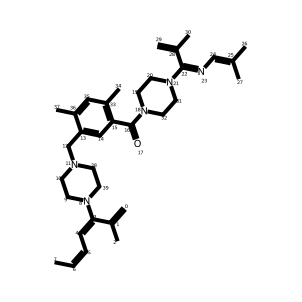 C=C(C)/C(=C\C=C/C)N1CCN(Cc2cc(C(=O)N3CCN(/C(=N/C=C(C)C)C(=C)C)CC3)c(C)cc2C)CC1